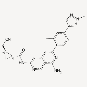 Cc1cc(-c2cnn(C)c2)ncc1-c1cc2cc(NC(=O)[C@@H]3C[C@H]3CC#N)ncc2c(N)n1